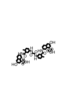 Cc1ccc(NC(=O)C(=O)Nc2ccc(C)c(C(=O)Nc3ccc4cc(O)cc(S(=O)(=O)O)c4c3)c2)cc1C(=O)Nc1ccc2cc(O)cc(S(=O)(=O)O)c2c1